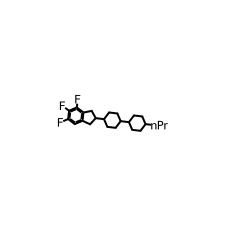 CCCC1CCC(C2CCC(C3Cc4cc(F)c(F)c(F)c4C3)CC2)CC1